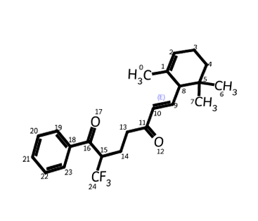 CC1=CCCC(C)(C)C1/C=C/C(=O)CCC(C(=O)c1ccccc1)C(F)(F)F